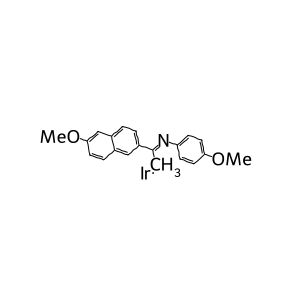 COc1ccc(/N=C(\C)c2ccc3cc(OC)ccc3c2)cc1.[Ir]